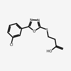 C=C(O)CCSc1nnc(-c2cccc(Cl)c2)o1